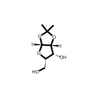 CC1(C)O[C@H]2O[C@@H](CO)[C@@H](O)[C@H]2O1